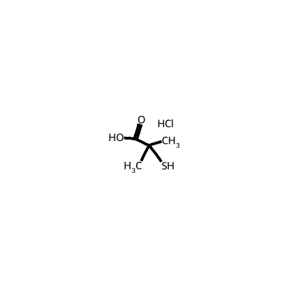 CC(C)(S)C(=O)O.Cl